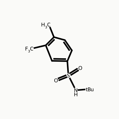 Cc1ccc(S(=O)(=O)NC(C)(C)C)cc1C(F)(F)F